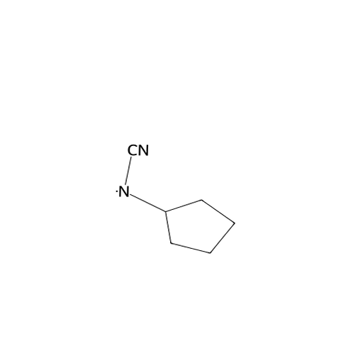 N#C[N]C1CCCC1